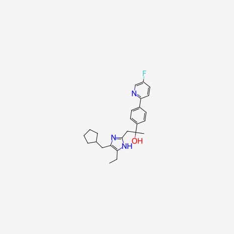 CCc1[nH]c(CC(C)(O)c2ccc(-c3ccc(F)cn3)cc2)nc1CC1CCCC1